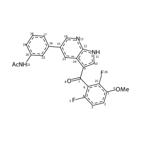 COc1ccc(F)c(C(=O)c2c[nH]c3ncc(-c4cccc(NC(C)=O)c4)cc23)c1F